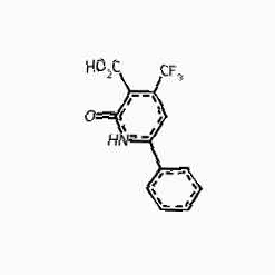 O=C(O)c1c(C(F)(F)F)cc(-c2ccccc2)[nH]c1=O